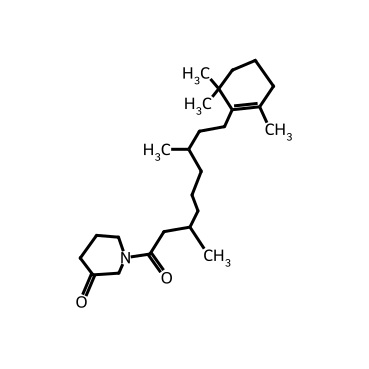 CC1=C(CCC(C)CCCC(C)CC(=O)N2CCCC(=O)C2)C(C)(C)CCC1